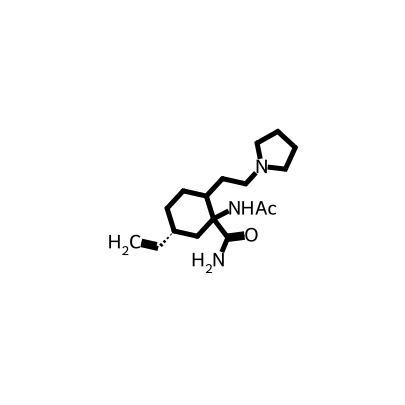 C=C[C@@H]1CCC(CCN2CCCC2)C(NC(C)=O)(C(N)=O)C1